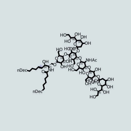 CCCCCCCCCCCCC/C=C/[C@@H](O)[C@H](CO[C@@H]1OC(CO)[C@@H](O[C@@H]2OC(CO)[C@H](O[C@@H]3OC(CO)[C@H](O)[C@H](O[C@@H]4OC(CO)[C@H](O)[C@H](O[C@]5(C(=O)O)CC(O)[C@@H](O)C([C@H](O)[C@H](O)CO)O5)C4O)C3NC(C)=O)[C@H](O[C@]3(C(=O)O)CC(O)[C@@H](O)C([C@H](O)[C@H](O)CO)O3)C2O)[C@H](O)C1O)NC(=O)CCCCCCCCCCCCCCC